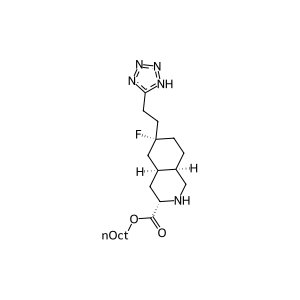 CCCCCCCCOC(=O)[C@@H]1C[C@H]2C[C@@](F)(CCc3nnn[nH]3)CC[C@H]2CN1